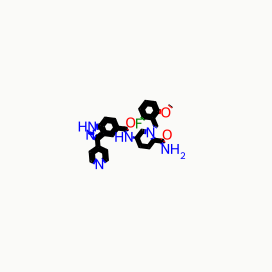 COc1cccc(F)c1CN1C[C@H](NC(=O)c2ccc3[nH]nc(-c4ccncc4)c3c2)CCC1C(N)=O